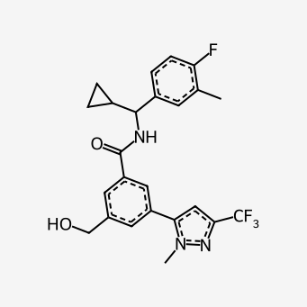 Cc1cc(C(NC(=O)c2cc(CO)cc(-c3cc(C(F)(F)F)nn3C)c2)C2CC2)ccc1F